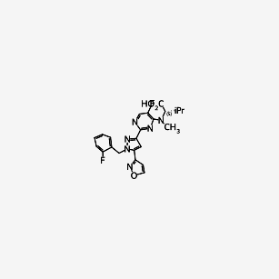 CC(C)[C@@H](C(=O)O)N(C)c1nc(-c2cc(-c3ccon3)n(Cc3ccccc3F)n2)ncc1F